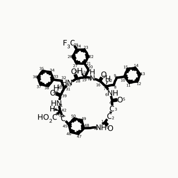 O=C1CCC(=O)N[C@H](CCc2ccccc2)C(=O)N[C@@H](Cc2ccc(C(F)(F)F)cc2)C(=O)N[C@H](Cc2ccccc2)C(=O)N[C@@H](C(=O)O)Cc2ccc(cc2)N1